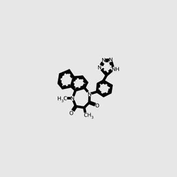 CC1C(=O)N(C)c2c(ccc3ccccc23)N(c2cccc(-c3nnn[nH]3)c2)C1=O